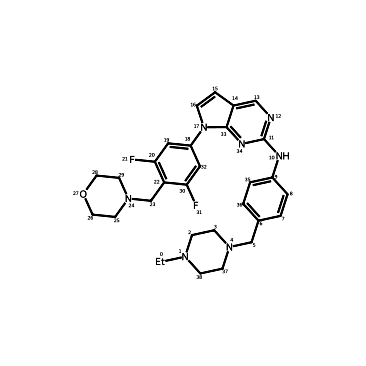 CCN1CCN(Cc2ccc(Nc3ncc4ccn(-c5cc(F)c(CN6CCOCC6)c(F)c5)c4n3)cc2)CC1